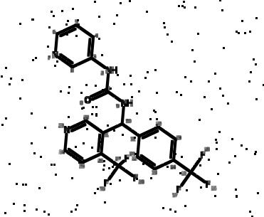 O=C(Nc1cccnc1)NC(c1ccc(C(F)(F)F)cc1)c1cnccc1C(F)(F)F